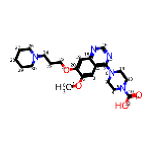 COc1cc2c(N3CCN(C(=O)O)CC3)ncnc2cc1OCCCN1CCCCC1